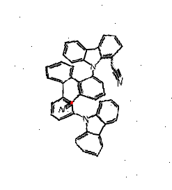 N#Cc1cccc(-n2c3ccccc3c3cccc(C#N)c32)c1-c1ccccc1-c1cccc(-n2c3ccccc3c3ccccc32)c1